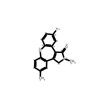 Cc1ccc2c(c1)C1=C(C(=O)N(C)C1)c1c[c]([Y])ccc1O2